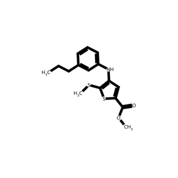 CCCc1cccc(Nc2cc(C(=O)OC)sc2SC)c1